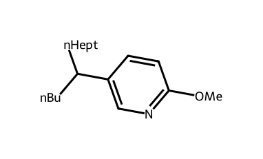 CCCCCCCC(CCCC)c1ccc(OC)nc1